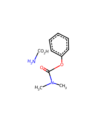 CN(C)C(=O)Oc1ccccc1.NC(=O)O